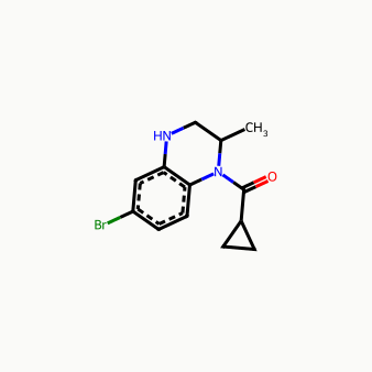 CC1CNc2cc(Br)ccc2N1C(=O)C1CC1